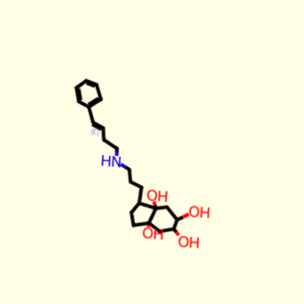 OC1CC2(O)CCC(CCCNCC/C=C/c3ccccc3)C2(O)CC1O